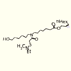 CCCCCC/C=C\COC(=O)CCCCCCN(CCCCCCO)C(=O)CSN(C)CC